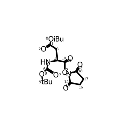 CC(C)COC(=O)CC(NC(=O)OC(C)(C)C)C(=O)ON1C(=O)CCC1=O